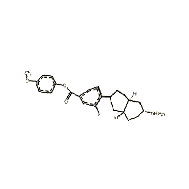 CCCCCCC[C@H]1CC[C@@H]2CC(c3ccc(C(=O)Oc4ccc(OC(F)(F)F)cc4)cc3F)CC[C@H]2C1